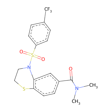 CN(C)C(=O)c1ccc2c(c1)N(S(=O)(=O)c1ccc(C(F)(F)F)cc1)CCS2